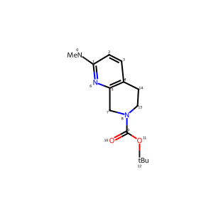 CNc1ccc2c(n1)CN(C(=O)OC(C)(C)C)CC2